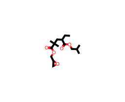 CCC(CC(C)(C)C(=O)OCC1CO1)C(=O)OCC(C)C